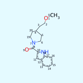 COCCC1CCN(C(=O)c2cc3ccccc3[nH]2)CC1